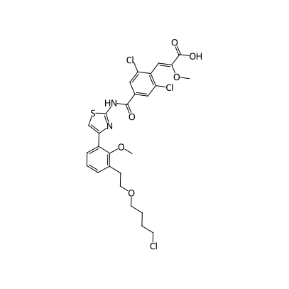 COC(=Cc1c(Cl)cc(C(=O)Nc2nc(-c3cccc(CCOCCCCCl)c3OC)cs2)cc1Cl)C(=O)O